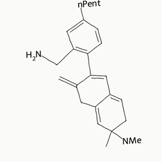 C=C1CC2=CC(C)(NC)CC=C2C=C1c1ccc(CCCCC)cc1CN